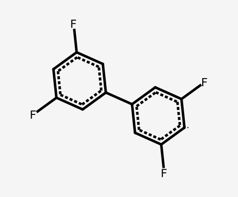 Fc1[c]c(F)cc(-c2cc(F)cc(F)c2)c1